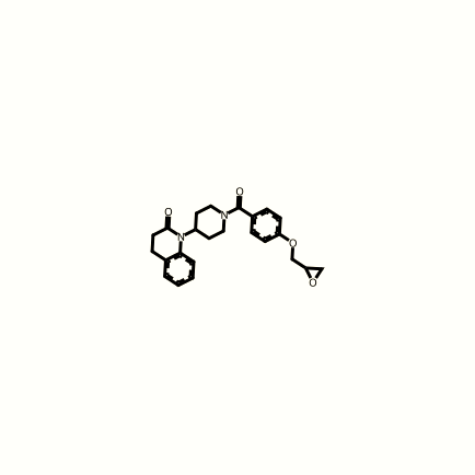 O=C(c1ccc(OCC2CO2)cc1)N1CCC(N2C(=O)CCc3ccccc32)CC1